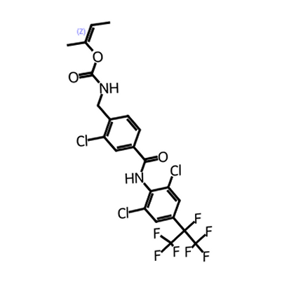 C/C=C(/C)OC(=O)NCc1ccc(C(=O)Nc2c(Cl)cc(C(F)(C(F)(F)F)C(F)(F)F)cc2Cl)cc1Cl